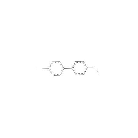 CCOc1ccc(-c2ccc(C(F)(F)F)nc2)cc1